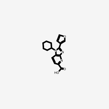 O=C(O)c1ccc2c(n1)nc(-c1ccoc1)n2C1CCCCC1